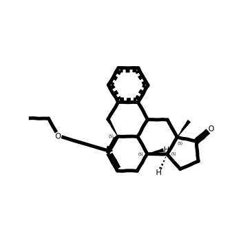 CCOC1=CC2=CC[C@@H]3C4C(C[C@]5(C)C(=O)CC[C@@H]35)c3ccccc3C[C@]24CC1